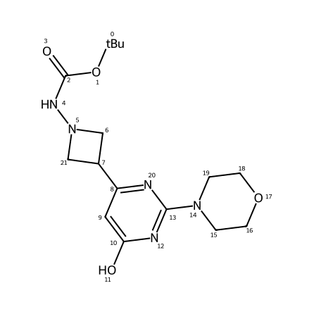 CC(C)(C)OC(=O)NN1CC(c2cc(O)nc(N3CCOCC3)n2)C1